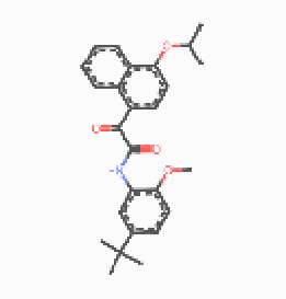 COc1ccc(C(C)(C)C)cc1NC(=O)C(=O)c1ccc(OC(C)C)c2ccccc12